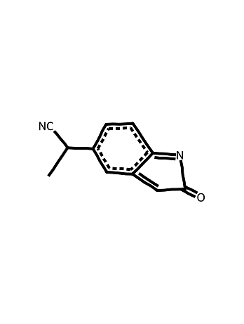 CC(C#N)c1ccc2c(c1)=CC(=O)N=2